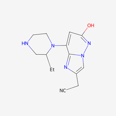 CCC1CNCCN1c1cc(O)nn2cc(CC#N)nc12